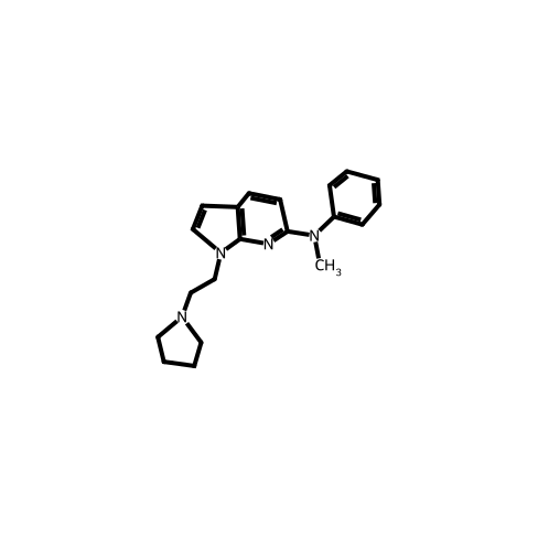 CN(c1ccccc1)c1ccc2ccn(CCN3CCCC3)c2n1